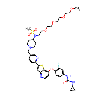 COCCOCCOCCOCCN(C1CCN(Cc2ccc(-c3cc4nccc(Oc5ccc(NC(=O)NC6CC6)cc5F)c4s3)nc2)CC1)S(C)(=O)=O